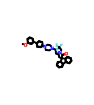 COc1cccc(-c2ccc(N3CCN(CCCCC4(C(=O)NCC(F)(F)F)c5ccccc5-c5ccccc54)CC3)cc2)c1